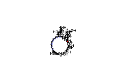 CC1CN(C(=O)[C@H]2[C@@H]3C[C@@H](O[C@H]4O[C@@H](C)[C@@H](O)[C@H](NC(=O)CN)[C@@H]4O)/C=C/C=C/C=C/C=C/C=C/C=C/C=C/[C@H](C)[C@@H](O)[C@@H](C)[C@H](C)OC(=O)C[C@H](O)C[C@H](O)CC[C@@H](O)[C@H](O)C[C@H](O)C[C@](O)(C[C@@H]2O)O3)CC(C)N1CCO